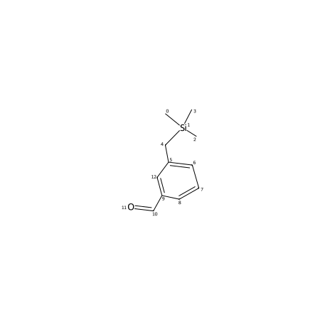 C[Si](C)(C)Cc1cccc(C=O)c1